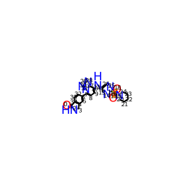 O=C1NCc2cc(-c3ccc(Nc4cnc(S(=O)(=O)N5CCCCC5)nc4)c4ncnn34)ccc21